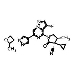 C[C@@H]1CN(c2nc(-c3cnn([C@H]4CO[C@@H]4C)c3)cn3ncc(F)c23)C(=O)[C@]1(C#N)C1CC1